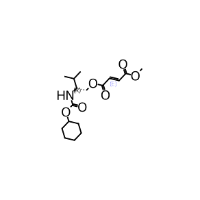 COC(=O)/C=C/C(=O)OC[C@H](NC(=O)OC1CCCCC1)C(C)C